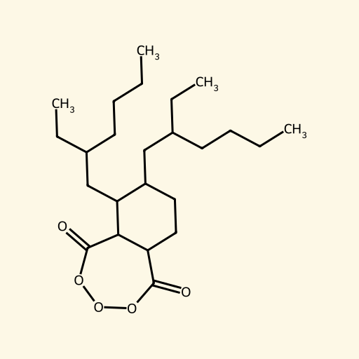 CCCCC(CC)CC1CCC2C(=O)OOOC(=O)C2C1CC(CC)CCCC